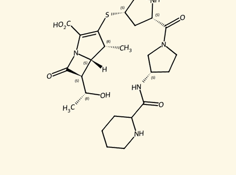 C[C@@H](O)[C@H]1C(=O)N2C(C(=O)O)=C(S[C@@H]3CN[C@H](C(=O)N4CC[C@H](NC(=O)C5CCCCN5)C4)C3)[C@H](C)[C@H]12